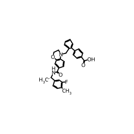 Cc1ccc([C@H](C)NC(=O)c2ccc3c(c2)OCCN3Cc2ccccc2-c2ccc(C(=O)O)cc2)cc1F